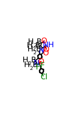 BC(c1ccc2c(c1)CN(C1C(=O)NC(=O)C(B)C1(B)B)C2=O)N(B)C(=O)C(F)(F)c1ccc(Cl)cc1